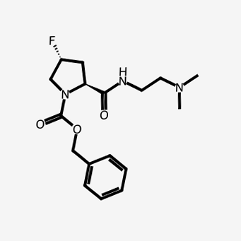 CN(C)CCNC(=O)[C@@H]1C[C@@H](F)CN1C(=O)OCc1ccccc1